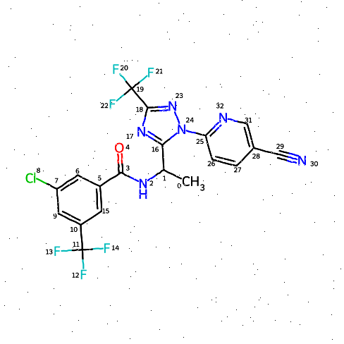 CC(NC(=O)c1cc(Cl)cc(C(F)(F)F)c1)c1nc(C(F)(F)F)nn1-c1ccc(C#N)cn1